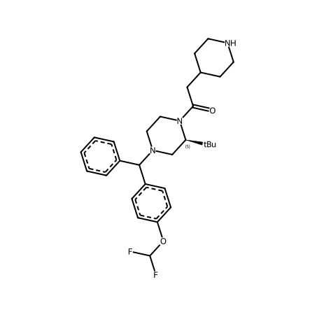 CC(C)(C)[C@H]1CN(C(c2ccccc2)c2ccc(OC(F)F)cc2)CCN1C(=O)CC1CCNCC1